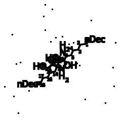 CCCCCCCCCCCCCCCC(N)C(O)C(O)C(N)(CCCCCCCCCCCCCCC)C(O)CO